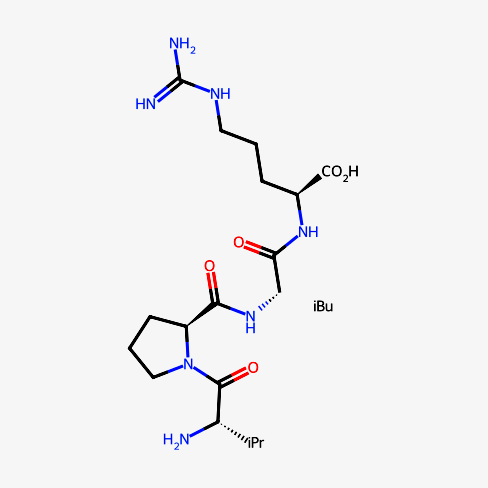 CC[C@H](C)[C@H](NC(=O)[C@@H]1CCCN1C(=O)[C@@H](N)C(C)C)C(=O)N[C@@H](CCCNC(=N)N)C(=O)O